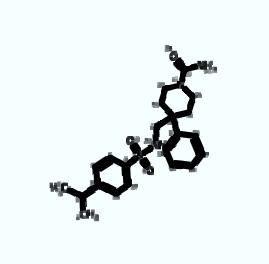 CC(C)c1ccc(S(=O)(=O)NCC2(c3ccccc3)CCN(C(N)=O)CC2)cc1